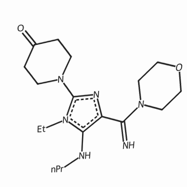 CCCNc1c(C(=N)N2CCOCC2)nc(N2CCC(=O)CC2)n1CC